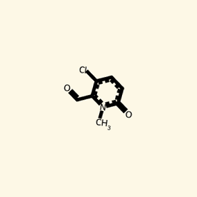 Cn1c(C=O)c(Cl)ccc1=O